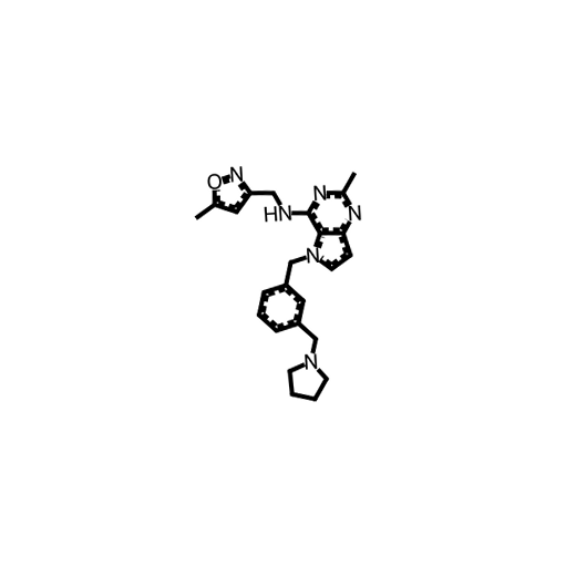 Cc1nc(NCc2cc(C)on2)c2c(ccn2Cc2cccc(CN3CCCC3)c2)n1